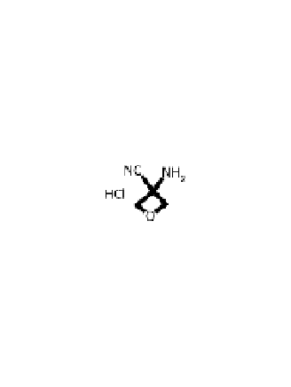 Cl.N#CC1(N)COC1